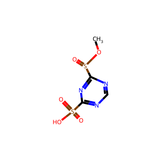 COS(=O)c1ncnc(S(=O)(=O)O)n1